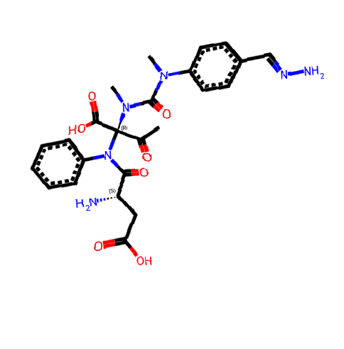 CC(=O)[C@](C(=O)O)(N(C)C(=O)N(C)c1ccc(C=NN)cc1)N(C(=O)[C@@H](N)CC(=O)O)c1ccccc1